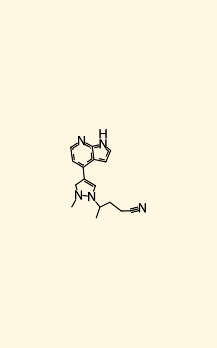 CC(CCC#N)N1C=C(c2ccnc3[nH]ccc23)CN1C